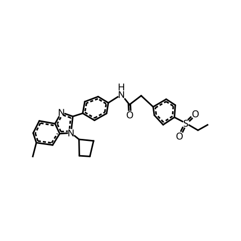 CCS(=O)(=O)c1ccc(CC(=O)Nc2ccc(-c3nc4ccc(C)cc4n3C3CCC3)cc2)cc1